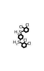 Clc1cccc([SiH2]c2ccc([SiH2]c3cccc(Cl)c3Cl)cc2)c1Cl